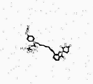 CC(C)(C)OC(=O)N(CCCCCC#Cc1cccc2c1CN(C1CCC(=O)NC1=O)C2=O)C1CCC(N=[N+]=[N-])CC1